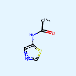 CC(=O)Nc1[c]ncs1